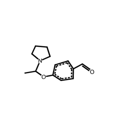 CC(Oc1ccc(C=O)cc1)N1CCCC1